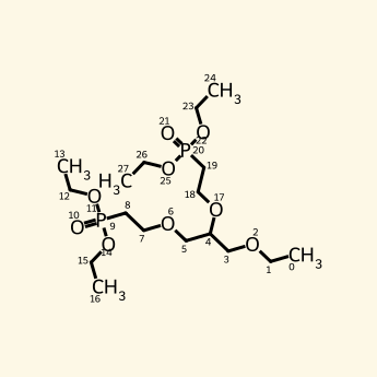 CCOCC(COCCP(=O)(OCC)OCC)OCCP(=O)(OCC)OCC